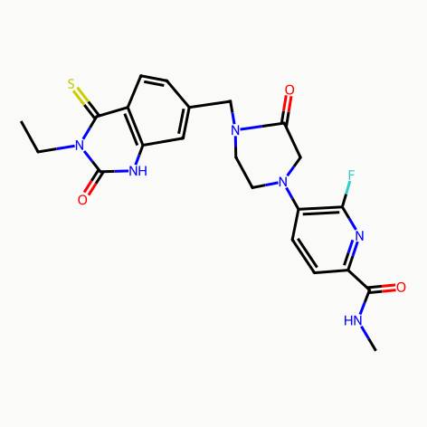 CCn1c(=O)[nH]c2cc(CN3CCN(c4ccc(C(=O)NC)nc4F)CC3=O)ccc2c1=S